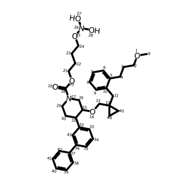 COCCCc1ccccc1CC1(COC2CN(C(=O)OCCCCON(O)O)CCC2c2cccc(-c3ccccc3)c2)CC1